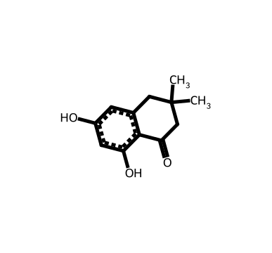 CC1(C)CC(=O)c2c(O)cc(O)cc2C1